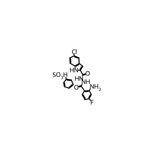 Nc1cc(F)ccc1C(=O)NNC(=O)c1cc2cc(Cl)ccc2[nH]1.O=S(=O)(O)c1ccccc1